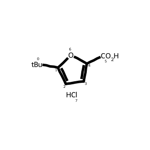 CC(C)(C)c1ccc(C(=O)O)o1.Cl